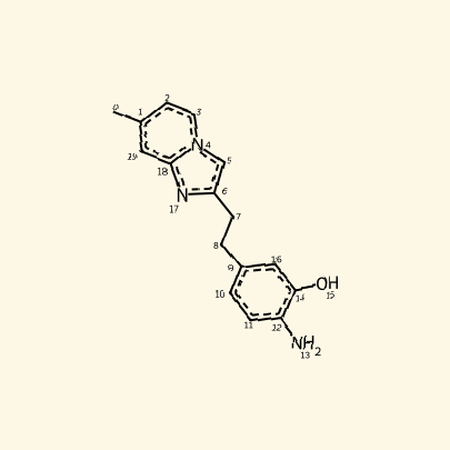 Cc1ccn2cc(CCc3ccc(N)c(O)c3)nc2c1